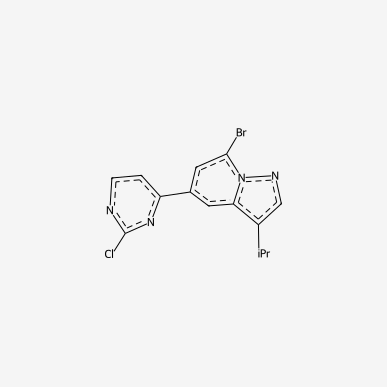 CC(C)c1cnn2c(Br)cc(-c3ccnc(Cl)n3)cc12